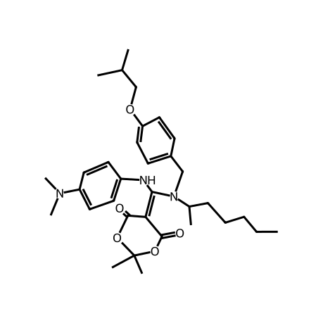 CCCCCC(C)N(Cc1ccc(OCC(C)C)cc1)C(Nc1ccc(N(C)C)cc1)=C1C(=O)OC(C)(C)OC1=O